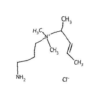 CC=CC(C)[N+](C)(C)CCCN.[Cl-]